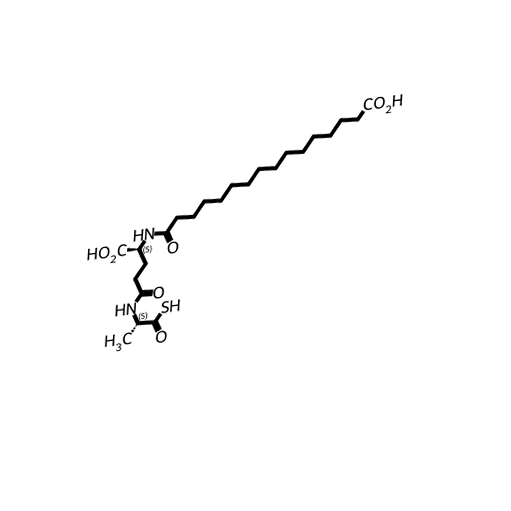 C[C@H](NC(=O)CC[C@H](NC(=O)CCCCCCCCCCCCCCC(=O)O)C(=O)O)C(=O)S